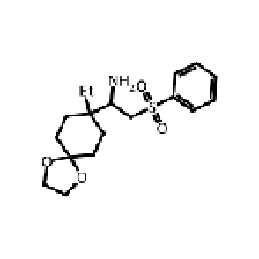 CCC1(C(N)CS(=O)(=O)c2ccccc2)CCC2(CC1)OCCO2